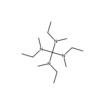 CCN(C)C(N(C)CC)(N(C)CC)N(C)CC